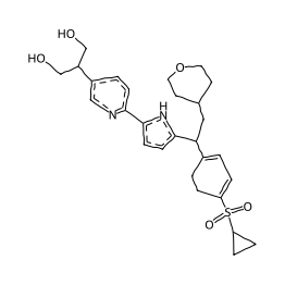 O=S(=O)(C1=CC=C(C(CC2CCOCC2)c2ccc(-c3ccc(C(CO)CO)cn3)[nH]2)CC1)C1CC1